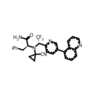 CC(C)C[C@@H](C(N)=O)N([C@@H](c1ccc(-c2cccc3ncccc23)cn1)C(F)(F)F)C1(C#N)CC1